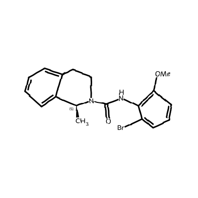 COc1cccc(Br)c1NC(=O)N1CCc2ccccc2[C@@H]1C